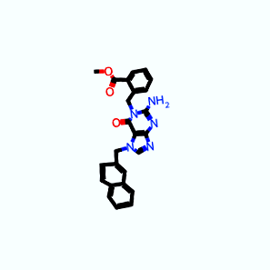 COC(=O)c1ccccc1Cn1c(N)nc2ncn(Cc3ccc4ccccc4c3)c2c1=O